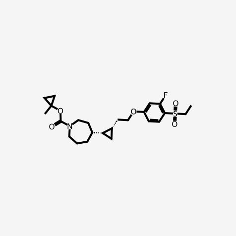 CCS(=O)(=O)c1ccc(OCC[C@@H]2C[C@@H]2C2CCCN(C(=O)OC3(C)CC3)CC2)cc1F